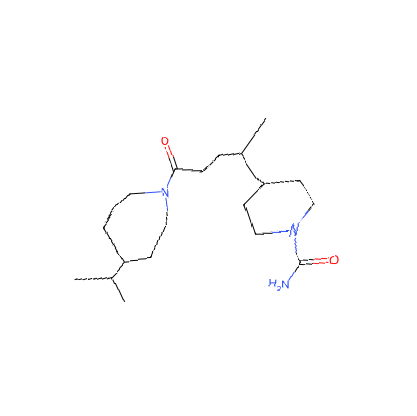 CC(C)C1CCN(C(=O)CCC(C)C2CCN(C(N)=O)CC2)CC1